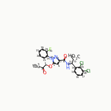 CC(C)(C)C(=O)COc1cc(C(=O)NC(CC(=O)O)c2cccc(Cl)c2Cl)nn1-c1ccccc1F